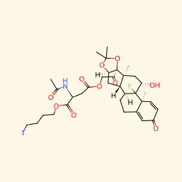 CC(=O)NC(CC(=O)OCC(=O)[C@@]12OC(C)(C)O[C@@H]1C[C@H]1[C@@H]3CCC4=CC(=O)C=C[C@]4(C)[C@@]3(F)[C@@H](O)C[C@@]12C)C(=O)OCCCCI